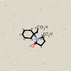 O=C(O)CC1(N2C(=O)CC[C@H]2C(=O)O)CCCCC1